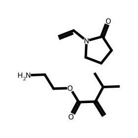 C=C(C(=O)OCCN)C(C)C.C=CN1CCCC1=O